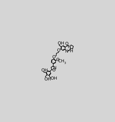 COc1cc(C2=NOC(c3cc(CO)c(CO)c(CO)c3)C2)ccc1OCCCOc1cc2c(cc1CO)C(=O)N1CCC[C@H]1C=N2